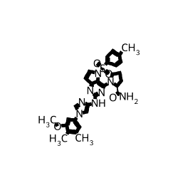 COc1cc(-n2cnc(Nc3nc(N4CCC[C@H]4C(N)=O)c4c(ccn4S(=O)(=O)c4ccc(C)cc4)n3)c2)cc(C)c1C